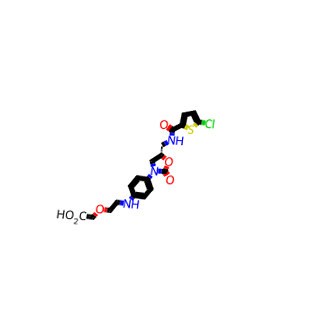 O=C(O)COCCNc1ccc(N2C[C@H](CNC(=O)c3ccc(Cl)s3)OC2=O)cc1